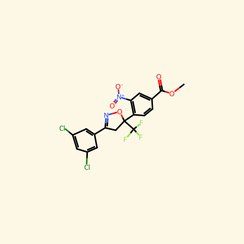 COC(=O)c1ccc(C2(C(F)(F)F)CC(c3cc(Cl)cc(Cl)c3)=NO2)c([N+](=O)[O-])c1